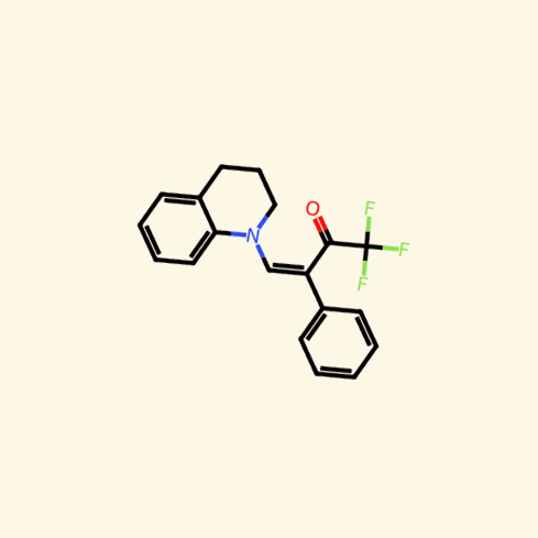 O=C(/C(=C\N1CCCc2ccccc21)c1ccccc1)C(F)(F)F